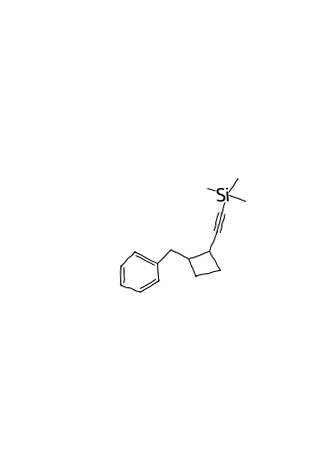 C[Si](C)(C)C#CC1CCC1Cc1ccccc1